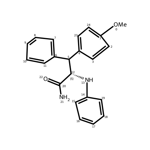 COc1ccc(C(c2ccccc2)[C@H](Nc2ccccc2)C(N)=O)cc1